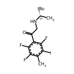 Cc1c(F)c(F)c(C(=O)CN[C@@H](C)C(C)(C)C)c(F)c1I